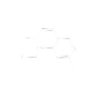 CCO/C=C\c1cnc(Cl)nc1NC(CC)CC